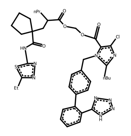 CCCCc1nc(Cl)c(C(=O)OCOC(=O)C(CCC)CC2(C(=O)Nc3nnc(CC)s3)CCCC2)n1Cc1ccc(-c2ccccc2-c2nnn[nH]2)cc1